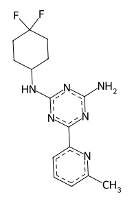 Cc1cccc(-c2nc(N)nc(NC3CCC(F)(F)CC3)n2)n1